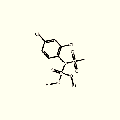 CCOP(=S)(OCC)N(c1ccc(Cl)cc1Cl)S(C)(=O)=O